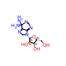 NC1(N)N=CN=C2C1=NCN2[C@@H]1O[C@H](CO)[C@@H](O)[C@H]1O